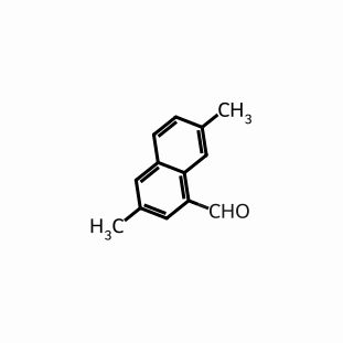 Cc1cc(C=O)c2cc(C)ccc2c1